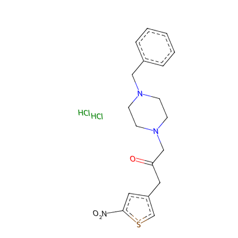 Cl.Cl.O=C(Cc1csc([N+](=O)[O-])c1)CN1CCN(Cc2ccccc2)CC1